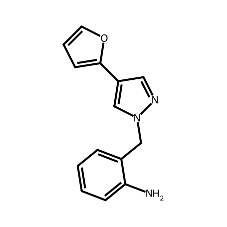 Nc1ccccc1Cn1cc(-c2ccco2)cn1